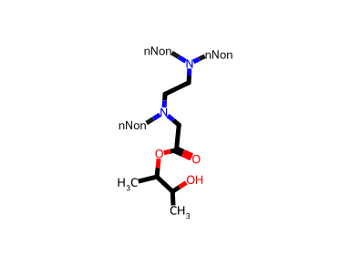 CCCCCCCCCN(CCCCCCCCC)CCN(CCCCCCCCC)CC(=O)OC(C)C(C)O